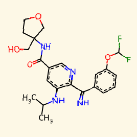 CC(C)Nc1cc(C(=O)NC2(CO)CCOC2)cnc1C(=N)c1cccc(OC(F)F)c1